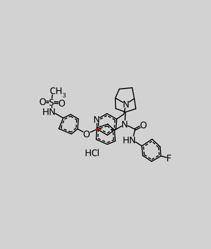 CS(=O)(=O)Nc1ccc(Oc2ccc(CN3C4CCC3CC(N(C(=O)Nc3ccc(F)cc3)c3ccccc3)C4)cn2)cc1.Cl